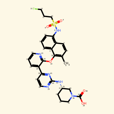 Cc1ccc2c(NS(=O)(=O)CCCF)cccc2c1Oc1ncccc1-c1ccnc(N[C@H]2CCCN(C(=O)O)C2)n1